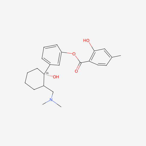 Cc1ccc(C(=O)Oc2cccc([C@]3(O)CCCCC3CN(C)C)c2)c(O)c1